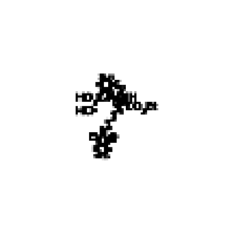 CCOC(=O)[C@@H](CCCCCCCN1C(=O)c2ccccc2C1=O)NC1CSc2ccccc2N(CC(=O)O)C1=O.Cl